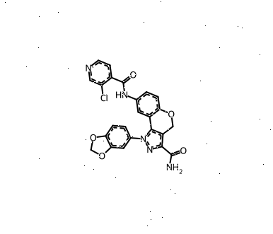 NC(=O)c1nn(-c2ccc3c(c2)OCO3)c2c1COc1ccc(NC(=O)c3ccncc3Cl)cc1-2